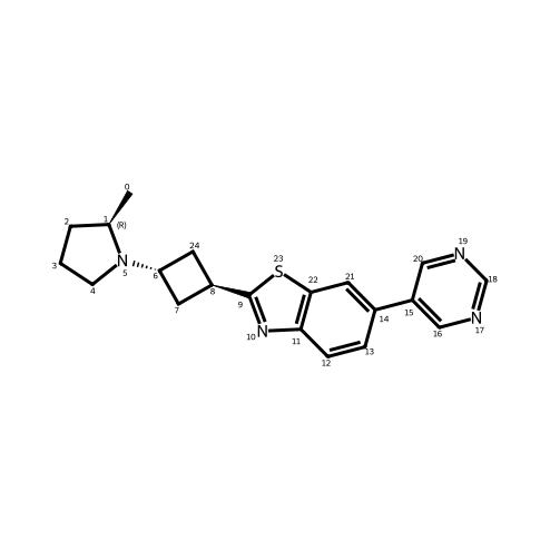 C[C@@H]1CCCN1[C@H]1C[C@H](c2nc3ccc(-c4cncnc4)cc3s2)C1